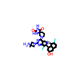 CCc1c(F)ccc2cc(O)cc(-c3ncc4c(N5CCCC6(C5)NC(=O)NC6=O)nc(N5CC(C)(N)C5)nc4c3F)c12